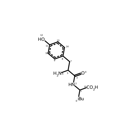 CCC(C)C(NC(=O)C(N)Cc1ccc(O)cc1)C(=O)O